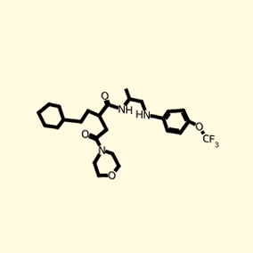 CC(CNc1ccc(OC(F)(F)F)cc1)NC(=O)C(CCC1CCCCC1)CC(=O)N1CCOCC1